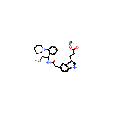 CC(C)(C)CC(NC(=O)Cc1ccc2[nH]cc(CCC(=O)OC(C)(C)C)c2c1)c1ccccc1N1CCCCC1